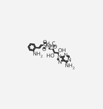 CO[C@H](CNS(=O)(=O)/C=C/c1ccccc1N)[C@@H](O)[C@@H](O)n1cnc2c(N)ncnc21